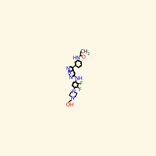 C=CC(=O)Nc1cccc(-c2cnn3cnc(Nc4ccc(N5CCN(CCO)CC5)c(F)c4F)cc23)c1